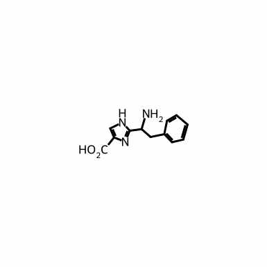 NC(Cc1ccccc1)c1nc(C(=O)O)c[nH]1